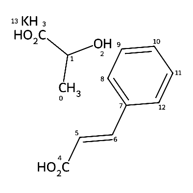 CC(O)C(=O)O.O=C(O)C=Cc1ccccc1.[KH]